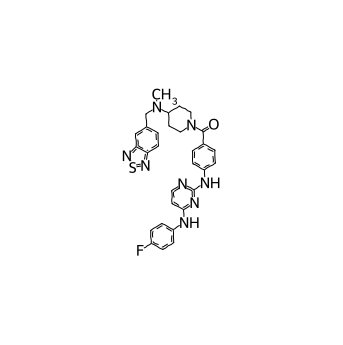 CN(Cc1ccc2nsnc2c1)C1CCN(C(=O)c2ccc(Nc3nccc(Nc4ccc(F)cc4)n3)cc2)CC1